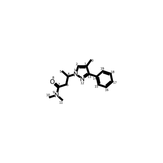 Cc1cn(C(C)CC(=O)N(C)C)nc1-c1ccccc1